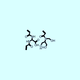 C=CC(=O)N(CO)C(CO)CO.C=CC(=O)NC(NC(=O)C=C)C(=O)O